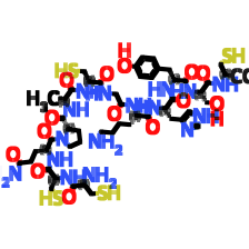 C[C@H](NC(=O)[C@@H]1CCCN1C(=O)[C@H](CCC(N)=O)NC(=O)[C@H](CS)NC(=O)[C@@H](N)CS)C(=O)N[C@@H](CS)C(=O)NCC(=O)N[C@@H](CCCCN)C(=O)N[C@@H](Cc1c[nH]cn1)C(=O)N[C@@H](Cc1ccc(O)cc1)C(=O)N[C@@H](CO)C(=O)N[C@@H](CS)C(=O)O